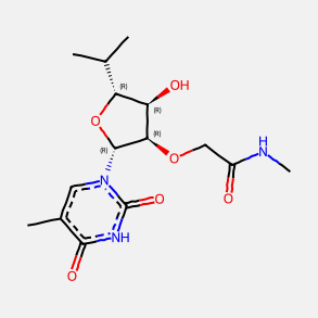 CNC(=O)CO[C@@H]1[C@H](O)[C@@H](C(C)C)O[C@H]1n1cc(C)c(=O)[nH]c1=O